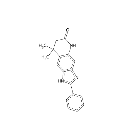 CC1(C)CC(=O)Nc2cc3nc(-c4ccccc4)[nH]c3cc21